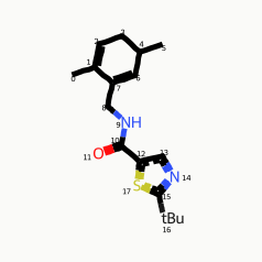 CC1=CCC(C)C=C1CNC(=O)c1cnc(C(C)(C)C)s1